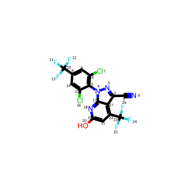 N#Cc1nn(-c2c(Cl)cc(C(F)(F)F)cc2Cl)c2nc(O)cc(C(F)(F)F)c12